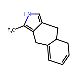 FC(F)(F)c1[nH]cc2c1CC1=CC=CCC1C2